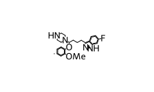 COc1c[c]ccc1OC(CCCc1n[nH]c2cc(F)ccc12)N1CCNCC1